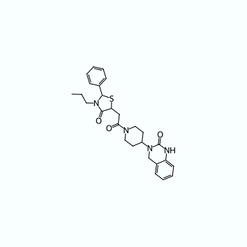 CCCN1C(=O)C(CC(=O)N2CCC(N3Cc4ccccc4NC3=O)CC2)SC1c1ccccc1